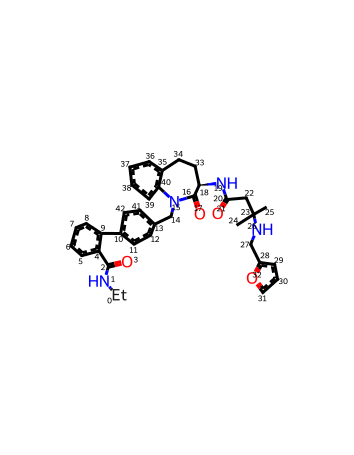 CCNC(=O)c1ccccc1-c1ccc(CN2C(=O)[C@H](NC(=O)CC(C)(C)NCc3ccco3)CCc3ccccc32)cc1